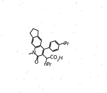 CCCC(C(=O)O)c1c(-c2ccc(C(C)C)cc2)c2cc3c(cc2n(C)c1=O)CCC3